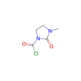 CN1CCN(C(=O)Cl)C1=O